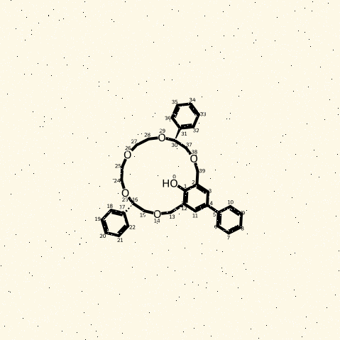 Oc1c2cc(-c3ccccc3)cc1COC[C@H](c1ccccc1)OCCOCCO[C@@H](c1ccccc1)COC2